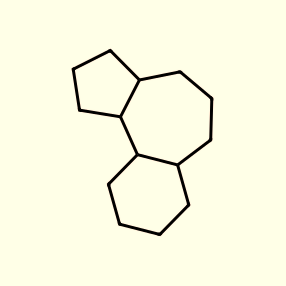 C1CCC2C(C1)CCCC1CCCC12